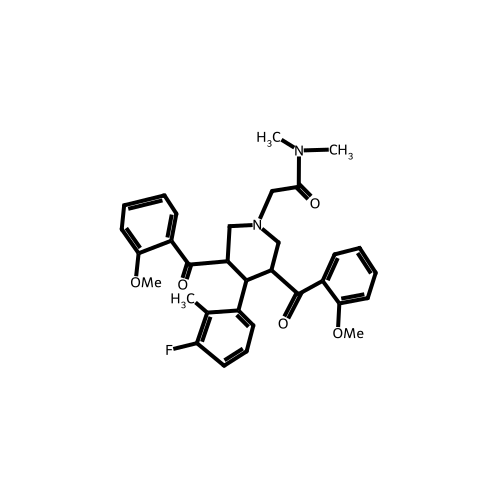 COc1ccccc1C(=O)C1CN(CC(=O)N(C)C)CC(C(=O)c2ccccc2OC)C1c1cccc(F)c1C